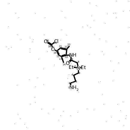 CC[N+](CC)(CCCCN)CC(=O)Nc1c(C)cc(OC(=O)Cl)cc1C